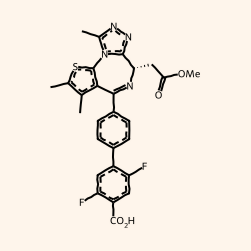 COC(=O)C[C@@H]1N=C(c2ccc(-c3cc(F)c(C(=O)O)cc3F)cc2)c2c(sc(C)c2C)-n2c(C)nnc21